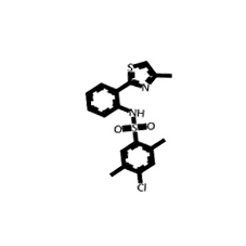 Cc1csc(-c2ccccc2NS(=O)(=O)c2cc(C)c(Cl)cc2C)n1